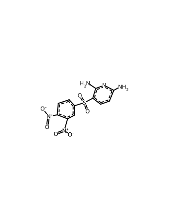 Nc1ccc(S(=O)(=O)c2ccc([N+](=O)[O-])c([N+](=O)[O-])c2)c(N)n1